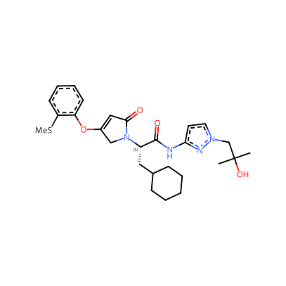 CSc1ccccc1OC1=CC(=O)N([C@@H](CC2CCCCC2)C(=O)Nc2ccn(CC(C)(C)O)n2)C1